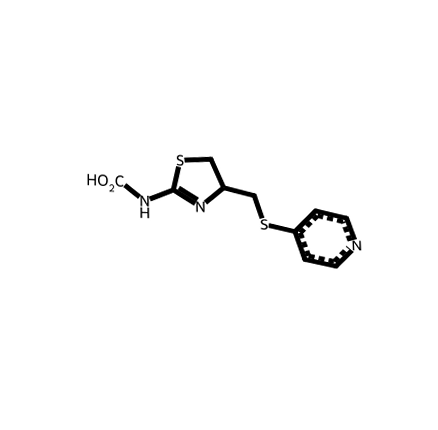 O=C(O)NC1=NC(CSc2ccncc2)CS1